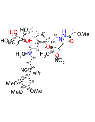 COCC(=O)NN1CCC(Oc2ccccc2CCN(C)CCCC(C#N)(c2cc(OC)c(OC)c(OC)c2)C(C)C)(C(C)O[N+](=O)[O-])CC1.O.O=C(O)CC(O)(CC(=O)O)C(=O)O